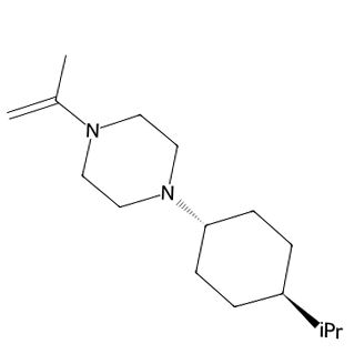 C=C(C)N1CCN([C@H]2CC[C@H](C(C)C)CC2)CC1